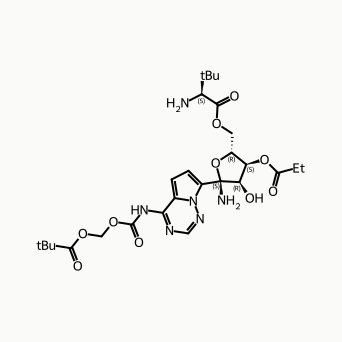 CCC(=O)O[C@H]1[C@@H](O)[C@](N)(c2ccc3c(NC(=O)OCOC(=O)C(C)(C)C)ncnn23)O[C@@H]1COC(=O)[C@@H](N)C(C)(C)C